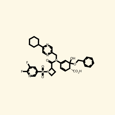 O=C(O)[C@@H]1C=CC(N(Cc2cnc(C3CCCCC3)cn2)C(=O)C2CCN2S(=O)(=O)c2cnc(F)c(F)c2)=CC1(O)OCc1ccccc1